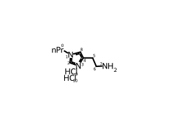 CCCn1cnc(CCN)c1.Cl.Cl